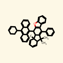 CC1(C)C2=C(c3ccccc3)c3c(oc4ccccc34)C(c3c4ccccc4c(C4CC=CCC4)c4ccccc34)C2C2(C)C=CC=CC12